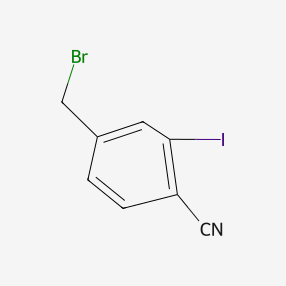 N#Cc1ccc(CBr)cc1I